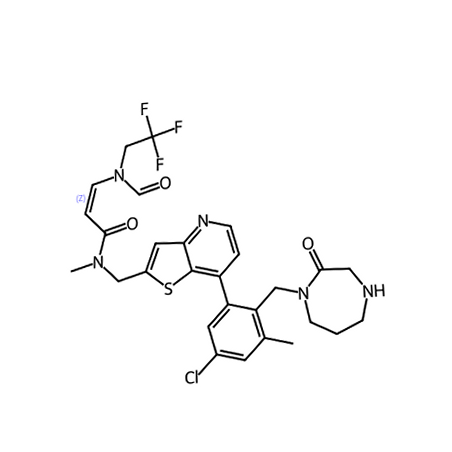 Cc1cc(Cl)cc(-c2ccnc3cc(CN(C)C(=O)/C=C\N(C=O)CC(F)(F)F)sc23)c1CN1CCCNCC1=O